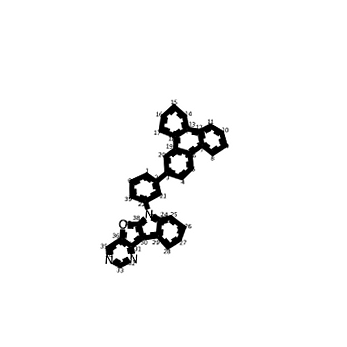 c1cc(-c2ccc3c4ccccc4c4ccccc4c3c2)cc(-n2c3ccccc3c3c4ncncc4oc32)c1